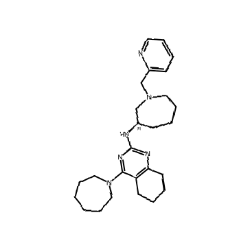 c1ccc(CN2CCCC[C@@H](Nc3nc4c(c(N5CCCCCC5)n3)CCCC4)C2)nc1